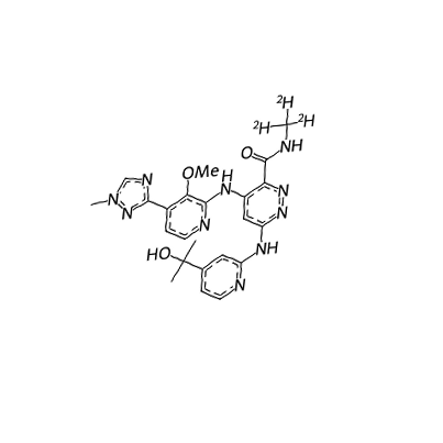 [2H]C([2H])([2H])NC(=O)c1nnc(Nc2cc(C(C)(C)O)ccn2)cc1Nc1nccc(-c2ncn(C)n2)c1OC